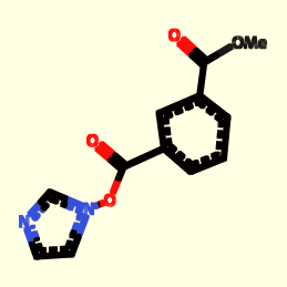 COC(=O)c1cccc(C(=O)On2ccnc2)c1